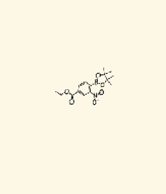 CCOC(=O)c1ccc(B2OC(C)(C)C(C)(C)O2)c([N+](=O)[O-])c1